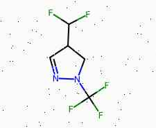 FC(F)C1[C]=NN(C(F)(F)F)[CH]1